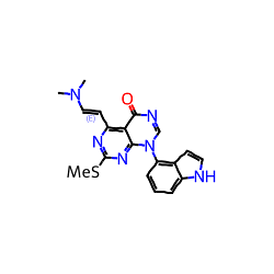 CSc1nc(/C=C/N(C)C)c2c(=O)ncn(-c3cccc4[nH]ccc34)c2n1